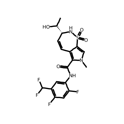 CC(O)[C@H]1C=Cc2c(cn(C)c2C(=O)Nc2cc(C(F)F)c(F)cc2F)S(=O)(=O)N1